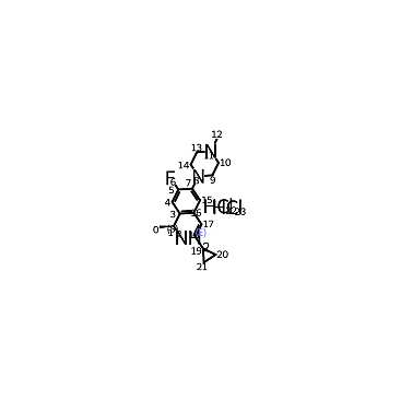 C[C@H](N)c1cc(F)c(N2CCN(C)CC2)cc1/C=C/C1CC1.Cl.Cl